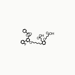 O=C(O)CCCOc1cccc(CCCCCCOc2cc(C3=COC=C(C4=CC=CCC4)O3)cc(-c3ccccc3F)c2)c1CCC(=O)O